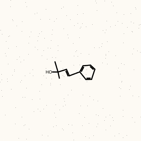 CC(C)(O)/C=C/c1ccccc1